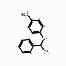 CC(Oc1ccc(C(=O)O)cc1)c1ccccc1